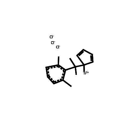 Cc1cccc(C)c1C(C)(C)[C]1([Ti+3])C=CC=C1.[Cl-].[Cl-].[Cl-]